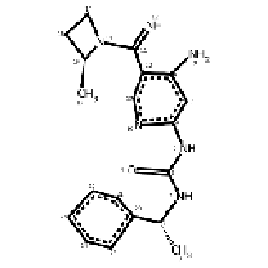 C[C@@H](NC(=O)Nc1cc(N)c(C(=N)N2CC[C@@H]2C)cn1)c1ccccc1